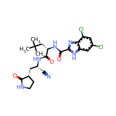 CC(C)(C)C[C@H](NC(=O)c1nc2c(Cl)cc(Cl)cc2[nH]1)C(=O)N[C@H](C#N)C[C@@H]1CCNC1=O